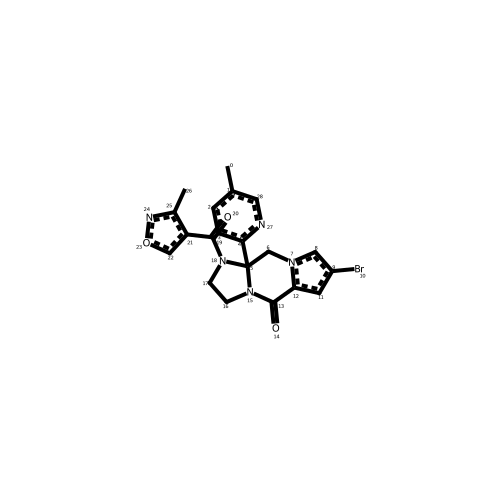 Cc1ccc(C23Cn4cc(Br)cc4C(=O)N2CCN3C(=O)c2conc2C)nc1